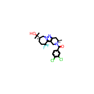 C[C@@H]1Cc2nn3c(c2CN1C(=O)c1ccc(Cl)c(Cl)c1)C(F)(F)CC[C@@H](C(C)(C)O)C3